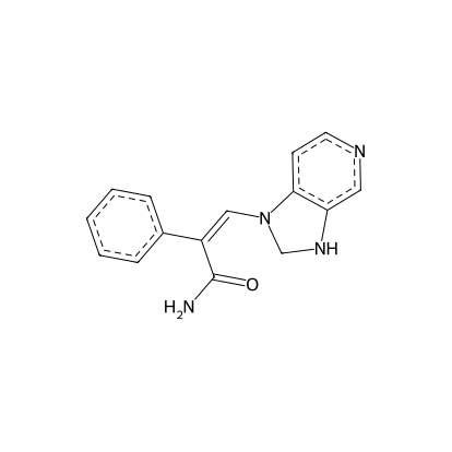 NC(=O)C(=CN1CNc2cnccc21)c1ccccc1